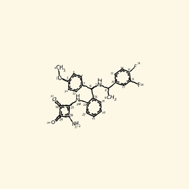 COc1ccc(C(NC(C)c2ccc(F)c(F)c2)c2ccccc2Nc2c(N)c(=O)c2=O)cc1